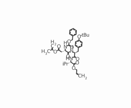 C=CCOC(=O)[C@@H](NC(=O)[C@H](Cc1ccc(OC(C)(C)C)cc1)NC(=O)[C@H](CC(=O)OC(=C)C)NC(=O)OCc1ccccc1)C(C)C